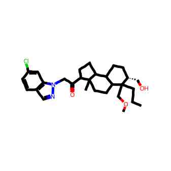 CCCC1(COC)C2CCC3(C)C(C(=O)Cn4ncc5ccc(Cl)cc54)CCC3C2CC[C@@H]1CO